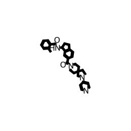 Cc1ccccc1C(=O)NC1CCc2ccc(C(=O)N3CCC4(CC3)CCN(c3ccncc3)C4)cc21